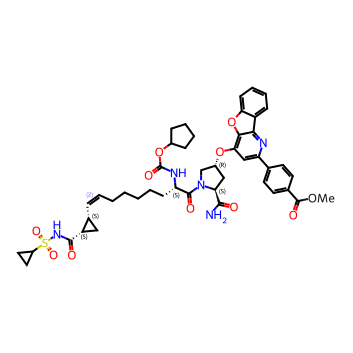 COC(=O)c1ccc(-c2cc(O[C@@H]3C[C@@H](C(N)=O)N(C(=O)[C@H](CCCCC/C=C\[C@@H]4C[C@@H]4C(=O)NS(=O)(=O)C4CC4)NC(=O)OC4CCCC4)C3)c3oc4ccccc4c3n2)cc1